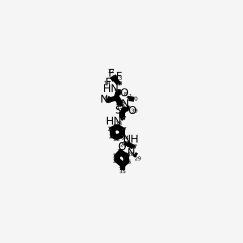 CCn1c(=C(C#N)C(=O)NCC(F)(F)F)sc(=CNc2cccc(NC(=O)CN(C)c3cccc(C)c3)c2)c1=O